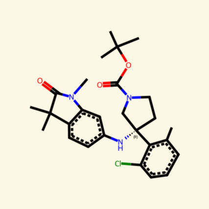 Cc1cccc(Cl)c1[C@]1(Nc2ccc3c(c2)N(C)C(=O)C3(C)C)CCN(C(=O)OC(C)(C)C)C1